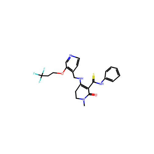 CN1CCC(NCc2ccncc2OCCC(F)(F)F)=C(C(=S)Nc2ccccc2)C1=O